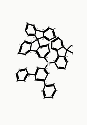 CC1(C)c2ccccc2-c2c(N(c3cc(-c4ccccc4)cc(-c4ccccc4)c3)c3ccc4c(c3)-c3ccccc3C43c4ccccc4-c4ccccc43)cccc21